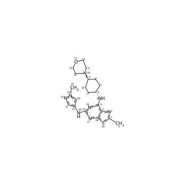 Cc1nc2c(N[C@H]3CC[C@H](N4CCOCC4)CC3)nc(Nc3cnn(C)c3)nc2s1